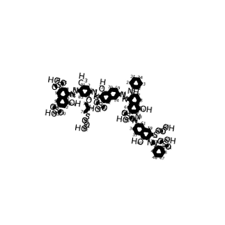 Cc1cc(N=Nc2c(S(=O)(=O)O)cc3cc(N=Nc4c(Nc5ccccc5)ccc5c(O)c(N=Nc6ccc7c(O)c(N=Nc8ccccc8S(=O)(=O)O)c(SOOO)cc7c6)c(S(=O)(=O)O)cc45)ccc3c2O)c(OCCCSOOO)cc1N=Nc1cc(S(=O)(=O)O)cc2cc(S(=O)(=O)O)cc(O)c12